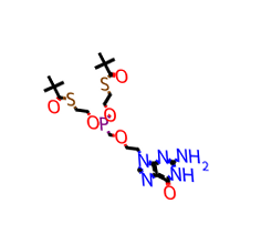 CC(C)(C)C(=O)SCCOP(COCCn1cnc2c(=O)[nH]c(N)nc21)OCCSC(=O)C(C)(C)C